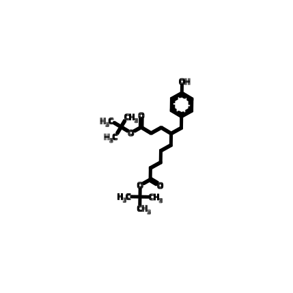 CC(C)(C)OC(=O)CCCCC(CCC(=O)OC(C)(C)C)Cc1ccc(O)cc1